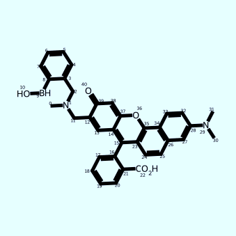 CN(Cc1ccccc1BO)Cc1cc2c(-c3ccccc3C(=O)O)c3ccc4cc(N(C)C)ccc4c3oc-2cc1=O